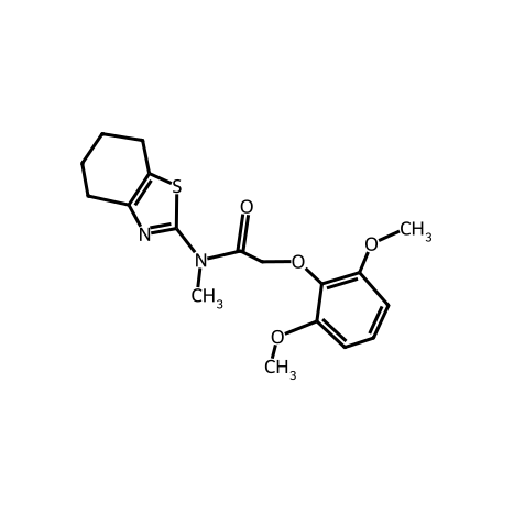 COc1cccc(OC)c1OCC(=O)N(C)c1nc2c(s1)CCCC2